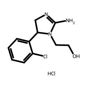 Cl.NC1=NCC(c2ccccc2Cl)N1CCO